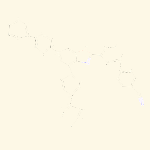 N#Cc1ccc(-c2cccc(-c3nc4c(-c5ccc(-c6ccccc6)cc5)cc(-c5ccc(-c6ccccc6)cc5)cc4o3)c2)cc1